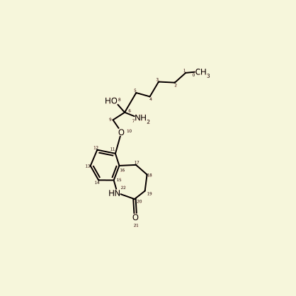 CCCCCCC(N)(O)COc1cccc2c1CCCC(=O)N2